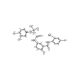 N#Cc1cc(F)ccc1NC(=O)c1cc(NC(=O)[C@@H]2[C@@H](c3ccc(Cl)c(Cl)c3)C2(Cl)Cl)ccc1Cl